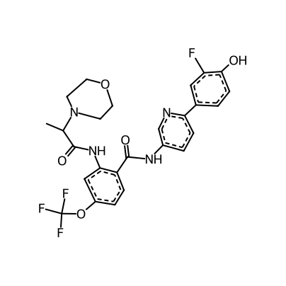 CC(C(=O)Nc1cc(OC(F)(F)F)ccc1C(=O)Nc1ccc(-c2ccc(O)c(F)c2)nc1)N1CCOCC1